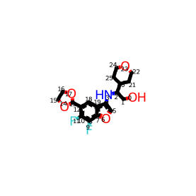 OCC(Nc1coc2c(F)c(F)c(C3OCCO3)cc12)C1CCOCC1